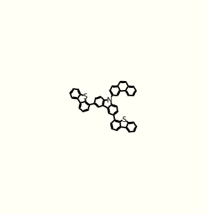 c1ccc2c(c1)ccc1ccc(-n3c4ccc(-c5cccc6c5sc5ccccc56)cc4c4cc(-c5cccc6c5sc5ccccc56)ccc43)cc12